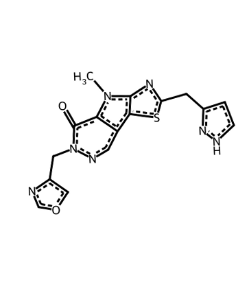 Cn1c2nc(Cc3cc[nH]n3)sc2c2cnn(Cc3cocn3)c(=O)c21